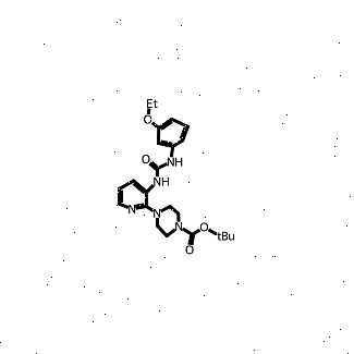 CCOc1cccc(NC(=O)Nc2cccnc2N2CCN(C(=O)OC(C)(C)C)CC2)c1